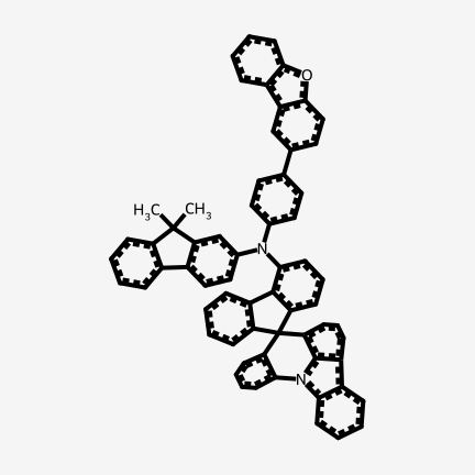 CC1(C)c2ccccc2-c2ccc(N(c3ccc(-c4ccc5oc6ccccc6c5c4)cc3)c3cccc4c3-c3ccccc3C43c4ccccc4-n4c5ccccc5c5cccc3c54)cc21